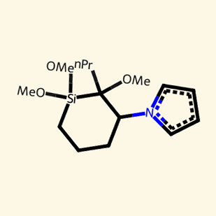 CCCC1(OC)C(n2cccc2)CCC[Si]1(OC)OC